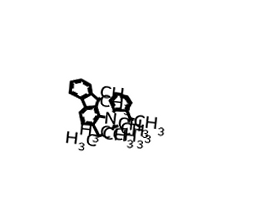 CC(C)c1ccccc1N(c1c(C(C)C)ccc2c1C(C)(C)c1ccccc1-2)C(C)(C)C